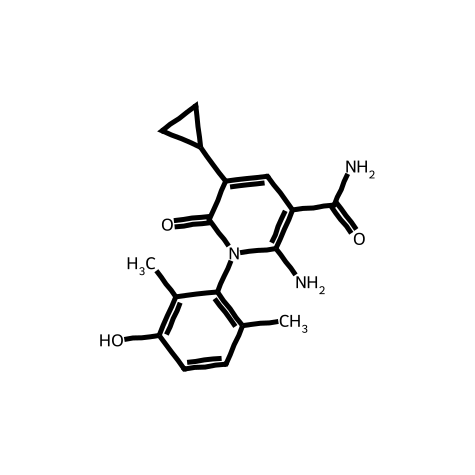 Cc1ccc(O)c(C)c1-n1c(N)c(C(N)=O)cc(C2CC2)c1=O